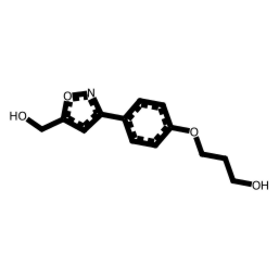 OCCCOc1ccc(-c2cc(CO)on2)cc1